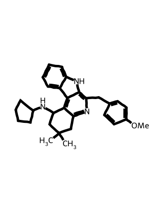 COc1ccc(Cc2nc3c(c4c2[nH]c2ccccc24)C(NC2CCCC2)CC(C)(C)C3)cc1